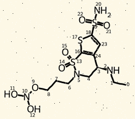 CCN[C@H]1CN(CCCON(O)O)S(=O)(=O)c2sc(S(N)(=O)=O)cc21